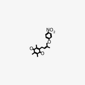 CC(=CCC1=C(C)C(=O)C(C)=C(C)C1=O)COc1ccc([N+](=O)[O-])cc1